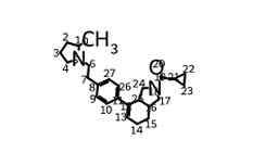 CC1CCCN1CCc1ccc(C2=CCCC3CN(C(=O)C4CC4)CC23)cc1